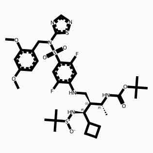 COc1ccc(CN(c2ncns2)S(=O)(=O)c2cc(F)c(NC[C@H]([C@H](N[S+]([O-])C(C)(C)C)C3CCC3)[C@@H](C)NC(=O)OC(C)(C)C)cc2F)c(OC)c1